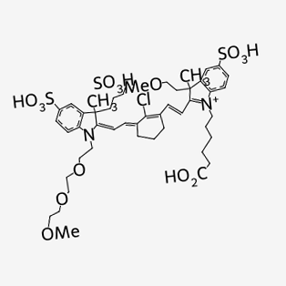 COCCOCCOCCN1/C(=C/C=C2\CCCC(/C=C/C3=[N+](CCCCCC(=O)O)c4ccc(S(=O)(=O)O)cc4C3(C)CCOC)=C2Cl)C(C)(CCCS(=O)(=O)O)c2cc(S(=O)(=O)O)ccc21